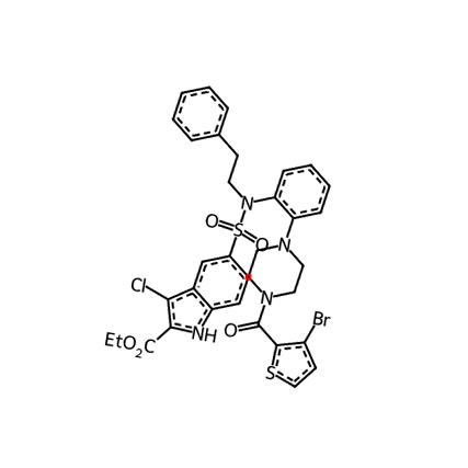 CCOC(=O)c1[nH]c2ccc(S(=O)(=O)N(CCc3ccccc3)c3ccccc3N3CCN(C(=O)c4sccc4Br)CC3)cc2c1Cl